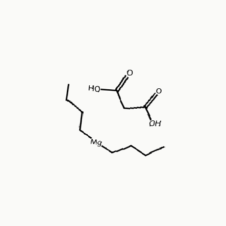 CCC[CH2][Mg][CH2]CCC.O=C(O)CC(=O)O